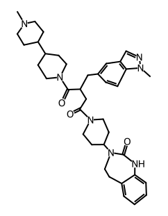 CN1CCC(C2CCN(C(=O)C(CC(=O)N3CCC(N4CCc5ccccc5NC4=O)CC3)Cc3ccc4c(cnn4C)c3)CC2)CC1